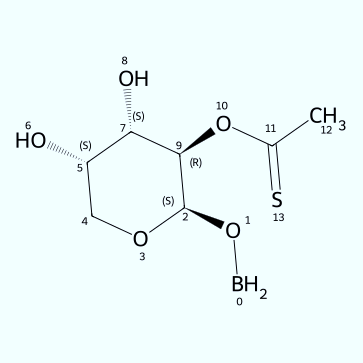 BO[C@H]1OC[C@H](O)[C@H](O)[C@H]1OC(C)=S